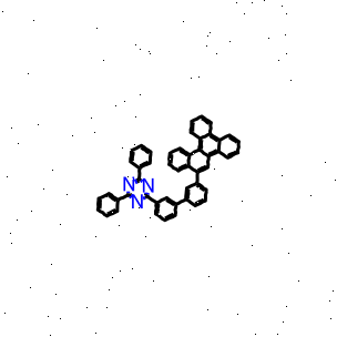 c1ccc(-c2nc(-c3ccccc3)nc(-c3cccc(-c4cccc(-c5cc6c7ccccc7c7ccccc7c6c6ccccc56)c4)c3)n2)cc1